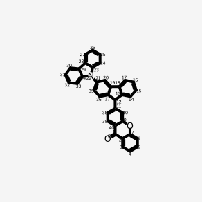 O=c1c2ccccc2oc2cc(C3c4ccccc4-c4cc(-n5c6ccccc6c6ccccc65)ccc43)ccc12